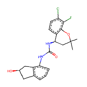 CC1(C)C[C@@H](NC(=O)Nc2cccc3c2C[C@H](O)C3)c2ccc(Cl)c(F)c2O1